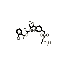 C[C@@H](OC(=O)Nc1conc1-c1ccc(CS(=O)(=O)CCC(=O)O)cc1)c1ccccc1Cl